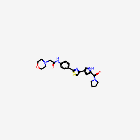 O=C(CN1CCOCC1)Nc1ccc(-c2nc(-c3c[nH]c(C(=O)N4CCCC4)c3)cs2)cc1